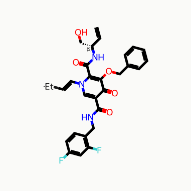 C=C[C@@H](CO)NC(=O)c1c(OCc2ccccc2)c(=O)c(C(=O)NCc2ccc(F)cc2F)cn1C=C[CH]C